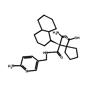 NC(=O)[C@](C(=O)NCc1ccc(N)nc1)(C1CCCC2CCCCC21)C1(C(=O)O)CCCC1